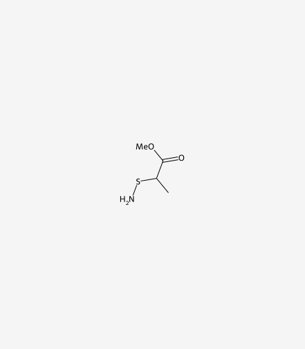 COC(=O)C(C)SN